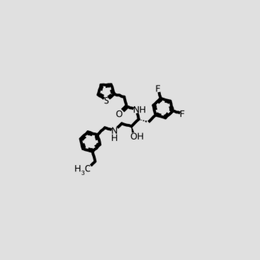 CCc1cccc(CNC[C@H](O)[C@@H](Cc2cc(F)cc(F)c2)NC(=O)Cc2cccs2)c1